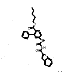 CCCCCOC(=O)c1ccc(NC(=S)NC(=O)c2cc3ccccc3o2)cc1-c1ccccc1